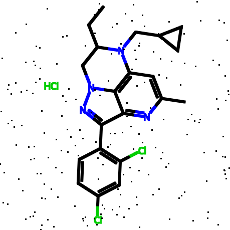 CCC1Cn2nc(-c3ccc(Cl)cc3Cl)c3nc(C)cc(c32)N1CC1CC1.Cl